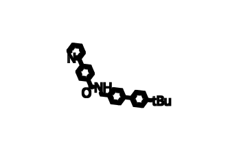 CC(C)(C)c1ccc(-c2ccc(CNC(=O)c3ccc(-c4ccccn4)cc3)cc2)cc1